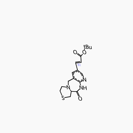 CC(C)(C)OC(=O)/C=C/c1cnc2c(c1)CN1CCSCC1C(=O)N2